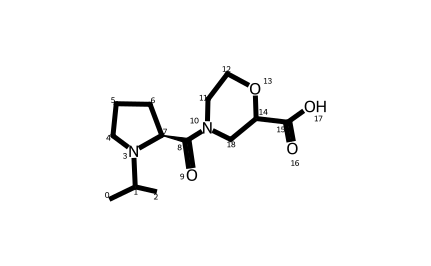 CC(C)N1CCC[C@H]1C(=O)N1CCOC(C(=O)O)C1